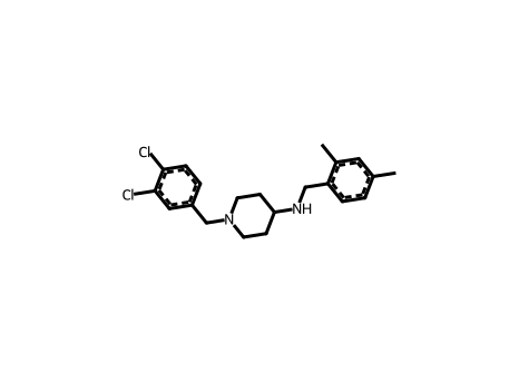 Cc1ccc(CNC2CCN(Cc3ccc(Cl)c(Cl)c3)CC2)c(C)c1